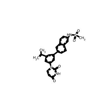 C=C(C)c1cc(-c2ccc3cc(NS(C)(=O)=O)ccc3c2)cc(-n2ccc(=O)[nH]c2=O)c1